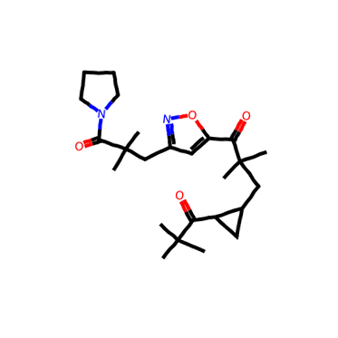 CC(C)(C)C(=O)C1CC1CC(C)(C)C(=O)c1cc(CC(C)(C)C(=O)N2CCCC2)no1